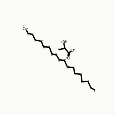 CC(O)C(=O)[O-].CCCCCCCCCCCCCCCCC[CH2][Ca+]